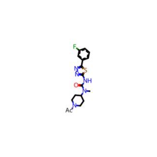 CC(=O)N1CCC(N(C)C(=O)Nc2nnc(-c3cccc(F)c3)s2)CC1